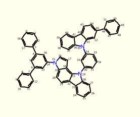 c1ccc(-c2cc(-c3ccccc3)cc(-n3ccc4c3ccc3c5ccccc5n(-c5cccc(-n6c7ccccc7c7ccc(-c8ccccc8)cc76)c5)c34)c2)cc1